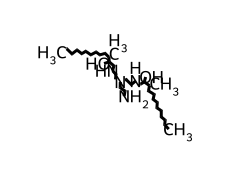 CCCCCCCCCCC(C)C(O)CNCCN(CCN)CCNCC(O)C(C)CCCCCCCCCC